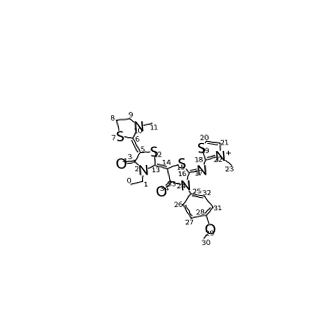 CCn1c(=O)/c(=C2\SCCN2C)s/c1=C1\S/C(=N\c2scc[n+]2C)N(c2ccc(OC)cc2)C1=O